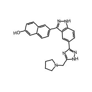 Oc1ccc2cc(-c3n[nH]c4ccc(-c5n[nH]c(CN6CCCC6)n5)cc34)ccc2c1